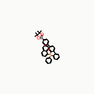 CC1(C)OB(c2ccc(-c3ccc4c(c3)S(c3ccccc3)(c3cccc5ccccc35)c3ccccc3-4)cc2)OC1(C)C